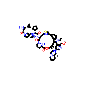 CCn1c(C2=C([C@H](C)OC)N=CC(N3CCN4CCCC[C@@H]4C3)C2)c2c3cc(ccc31)-c1csc(n1)C[C@H](NC(=O)[C@H](C1CCCC1)N1CC[C@]3(CCN(C(=O)[C@@H]4N[C@@H]4C4CC4)C3)C1)C(=O)N1CCC[C@H](N1)C(=O)OCC(C)(C)C2